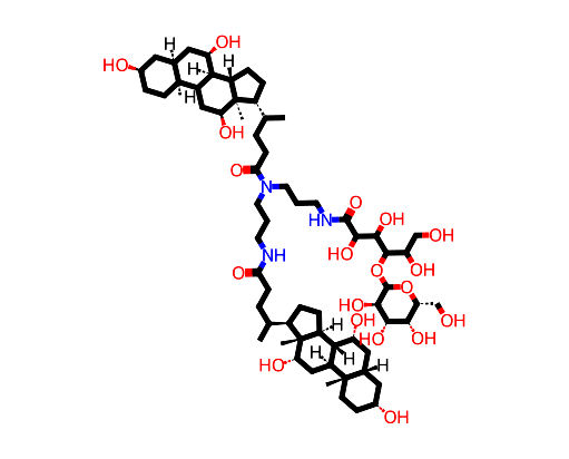 CC(CCC(=O)NCCCN(CCCNC(=O)C(O)C(O)C(OC1O[C@H](CO)[C@H](O)[C@H](O)[C@H]1O)C(O)CO)C(=O)CCC(C)[C@H]1CC[C@H]2[C@@H]3[C@H](O)C[C@@H]4C[C@H](O)CC[C@]4(C)[C@H]3C[C@H](O)[C@]12C)[C@H]1CC[C@H]2[C@@H]3[C@H](O)C[C@@H]4C[C@H](O)CC[C@]4(C)[C@H]3C[C@H](O)[C@]12C